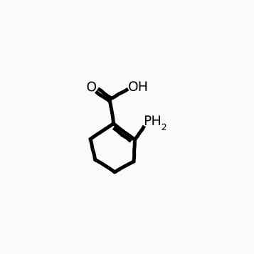 O=C(O)C1=C(P)CCCC1